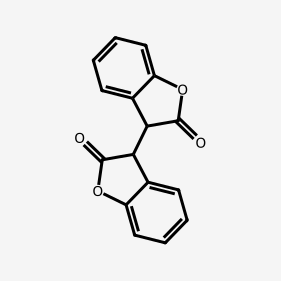 O=C1Oc2ccccc2C1C1C(=O)Oc2ccccc21